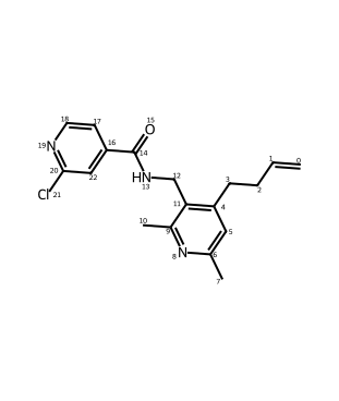 C=CCCc1cc(C)nc(C)c1CNC(=O)c1ccnc(Cl)c1